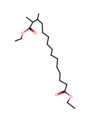 CCOC(=O)CCCCCCCCCCCC(C)C(C)C(=O)OCC